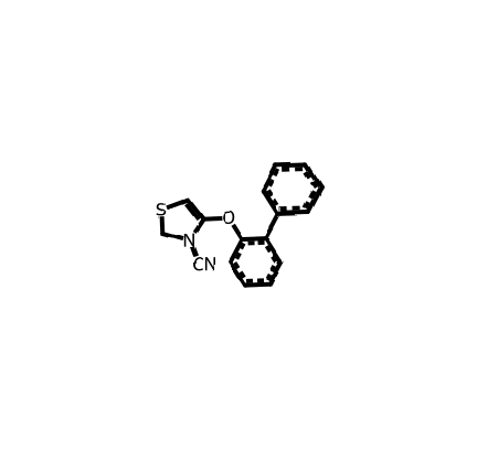 N#CN1CSC=C1Oc1ccccc1-c1ccccc1